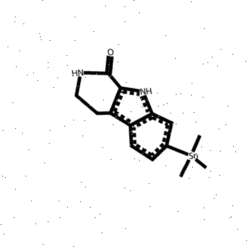 [CH3][Sn]([CH3])([CH3])[c]1ccc2c3c([nH]c2c1)C(=O)NCC3